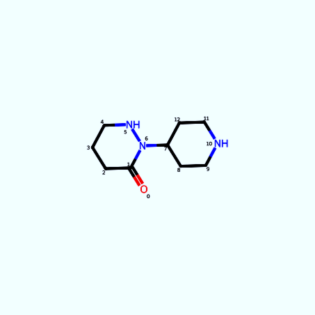 O=C1CCCNN1C1CCNCC1